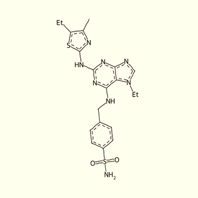 CCc1sc(Nc2nc(NCc3ccc(S(N)(=O)=O)cc3)c3c(ncn3CC)n2)nc1C